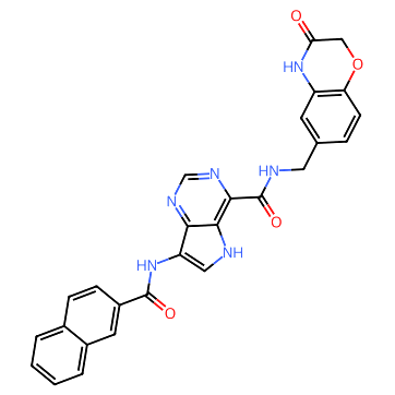 O=C1COc2ccc(CNC(=O)c3ncnc4c(NC(=O)c5ccc6ccccc6c5)c[nH]c34)cc2N1